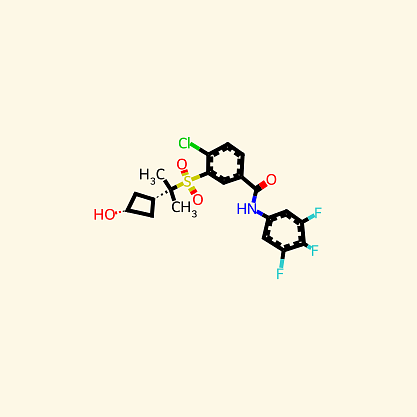 CC(C)([C@H]1C[C@@H](O)C1)S(=O)(=O)c1cc(C(=O)Nc2cc(F)c(F)c(F)c2)ccc1Cl